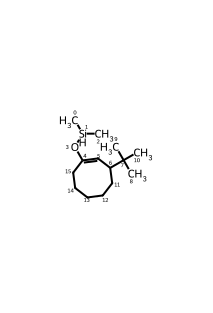 C[SiH](C)OC1=CC(C(C)(C)C)CCCCC1